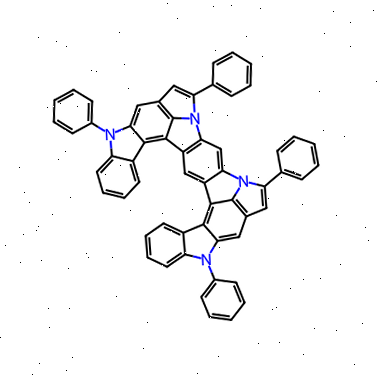 c1ccc(-c2cc3cc4c(c5ccccc5n4-c4ccccc4)c4c5cc6c7c8c9ccccc9n(-c9ccccc9)c8cc8cc(-c9ccccc9)n(c6cc5n2c34)c87)cc1